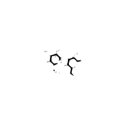 NC[C@H](O)[C@@H](O)[C@H](O[C@@H]1O[C@H](CO)[C@@H](O)[C@H](O)[C@H]1O)[C@H](O)CO